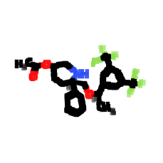 CC(=O)OC1CC[C@@](CO[C@H](C)c2cc(C(F)(F)F)cc(C(F)(F)F)c2)(c2ccccc2)NC1